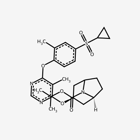 Cc1cc(S(=O)(=O)C2CC2)ccc1Oc1ncnc(O[C@H]2CC3CC[C@@H](C2)N3C(=O)OC(C)C)c1C